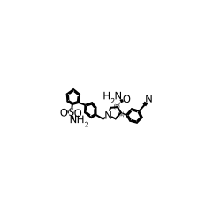 N#Cc1cccc([C@H]2CN(Cc3ccc(-c4ccccc4S(N)(=O)=O)cc3)C[C@@H]2C(N)=O)c1